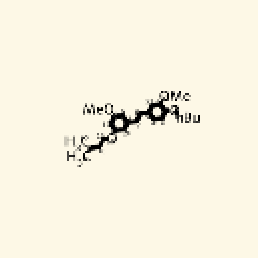 CCCCOc1ccc(/C=C/c2cc(OC)cc(OCC=C(C)C)c2)cc1OC